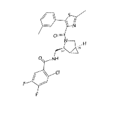 Cc1cccc(-c2sc(C)nc2C(=O)N2C[C@H]3CC3[C@H]2CNC(=O)c2cc(F)c(F)cc2Cl)c1